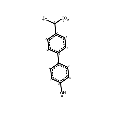 O=C(O)C(O)c1ccc(-c2ccc(O)cc2)cc1